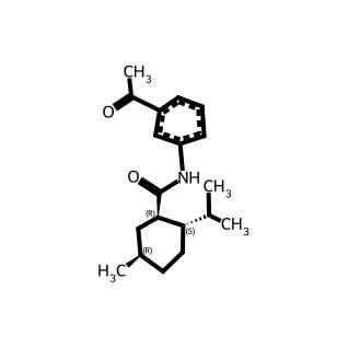 CC(=O)c1cccc(NC(=O)[C@@H]2C[C@H](C)CC[C@H]2C(C)C)c1